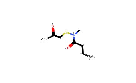 CNC(=O)CSN(C)C(=O)CCSC